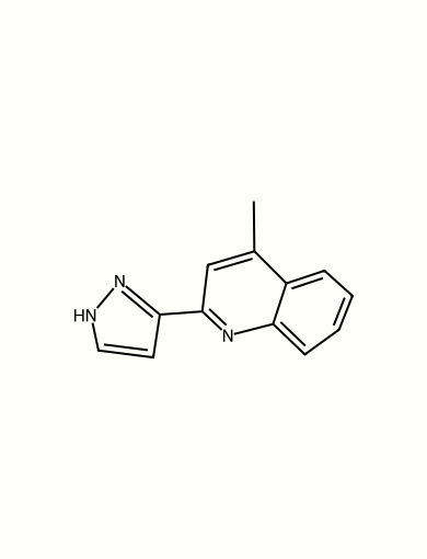 Cc1cc(-c2cc[nH]n2)nc2ccccc12